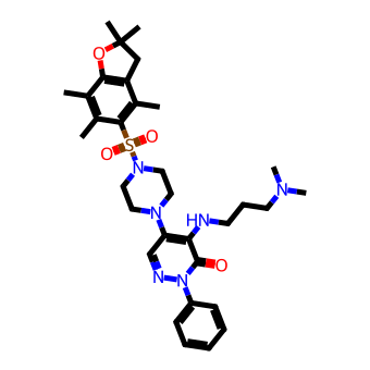 Cc1c(C)c(S(=O)(=O)N2CCN(c3cnn(-c4ccccc4)c(=O)c3NCCCN(C)C)CC2)c(C)c2c1OC(C)(C)C2